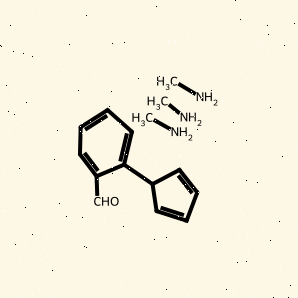 CN.CN.CN.O=Cc1ccccc1C1C=CC=C1